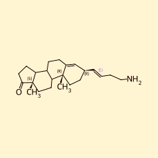 C[C@]12CC[C@H](/C=C/CCN)C=C1CCC1C2CC[C@]2(C)C(=O)CCC12